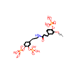 COc1cc(/C=C/C(=O)NCCc2ccc(OP(=O)(O)O)c(OP(=O)(O)O)c2)ccc1OP(=O)(O)O